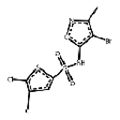 Cc1noc(NS(=O)(=O)c2cc(Cl)c(Cl)s2)c1Br